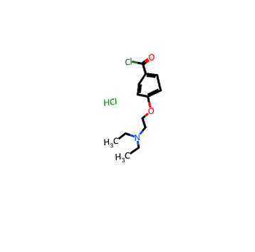 CCN(CC)CCOc1ccc(C(=O)Cl)cc1.Cl